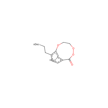 CCCCCCCCCCCCc1ccc2c(C(=O)O)c1OCCOOC2=O